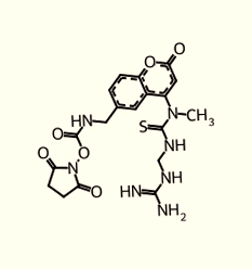 CN(C(=S)NCNC(=N)N)c1cc(=O)oc2ccc(CNC(=O)ON3C(=O)CCC3=O)cc12